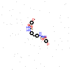 COc1ccc(S(=O)(=O)NC(=S)Nc2ccc(Cc3ccc(NC(=S)NS(=O)(=O)c4ccc(OC)cc4)cc3)cc2)cc1